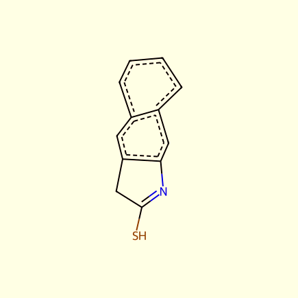 SC1=Nc2cc3ccccc3cc2C1